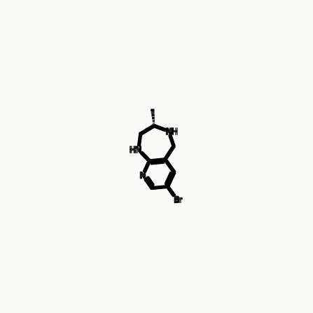 C[C@H]1CNc2ncc(Br)cc2CN1